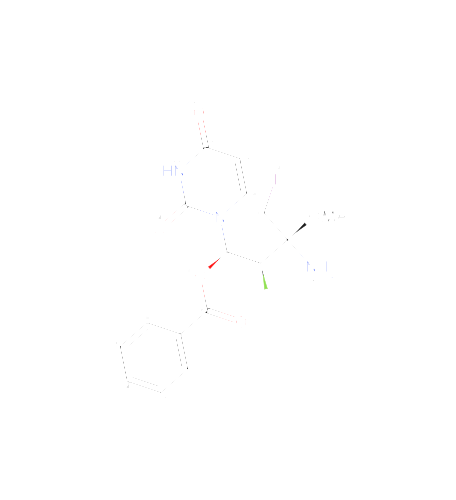 CO[C@](N)(CI)[C@@H](F)[C@@H](OC(=O)c1ccccc1)n1ccc(=O)[nH]c1=O